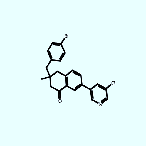 CC1(Cc2ccc(Br)cc2)CC(=O)c2cc(-c3cncc(Cl)c3)ccc2C1